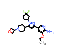 CCOc1cc(-c2cc(C3CCN(C4COC4)CC3)n(C3CCC(F)(F)C3)n2)cnc1N